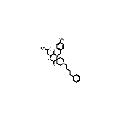 Cc1ccc(CN2C(=O)[C@H](CC(C)C)NC(=O)C23CCN(CCCCc2ccccc2)CC3)cc1